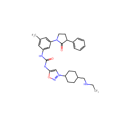 O=C([N-]c1c[n+](C2CCC(CNCC(F)(F)F)CC2)no1)Nc1cc(N2CCC(c3ccccc3)C2=O)cc(C(F)(F)F)c1